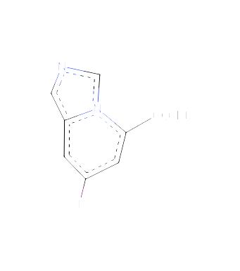 CCOC(=O)c1cc(I)cc2cncn12